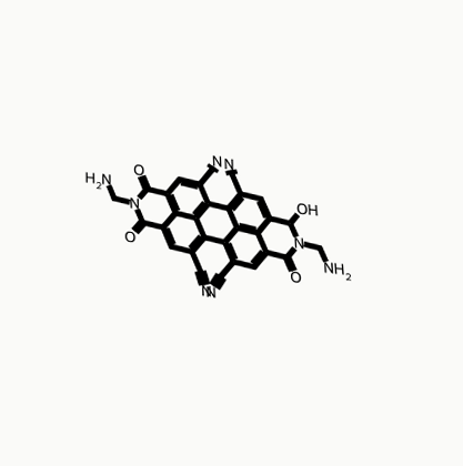 N#Cc1cc2c3c(cc(C#N)c4c5c(C#N)cc6c7c(cc(C#N)c(c1c34)c75)C(=O)N(CN)C6O)C(=O)N(CN)C2=O